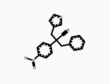 N#CC(Cc1ccccc1)(Cc1ccsc1)c1ccc([N+](=O)[O-])cc1